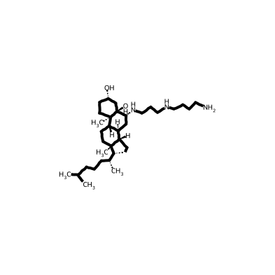 CC(C)CCC[C@@H](C)[C@H]1CC[C@H]2[C@@H]3C[C@@H](NCCCNCCCCN)[C@@]4(O)C[C@@H](O)CC[C@]4(C)[C@H]3CC[C@]12C